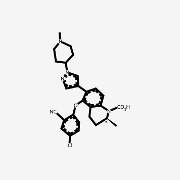 C[C@H]1CCc2c(ccc(-c3cnn(C4CCN(C)CC4)c3)c2Oc2ccc(Cl)cc2C#N)N1C(=O)O